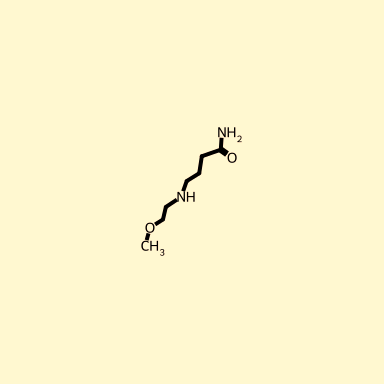 COCCNCCCC(N)=O